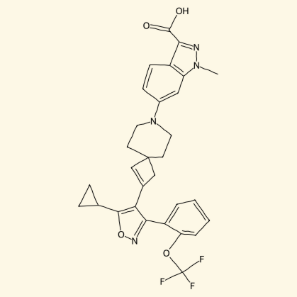 Cn1nc(C(=O)O)c2ccc(N3CCC4(C=C(c5c(-c6ccccc6OC(F)(F)F)noc5C5CC5)C4)CC3)cc21